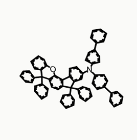 c1ccc(-c2ccc(N(c3ccc(-c4ccccc4)cc3)c3ccc4c(c3)C(c3ccccc3)(c3ccccc3)c3ccc5c(c3-4)Oc3ccccc3C5(c3ccccc3)c3ccccc3)cc2)cc1